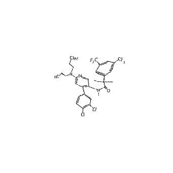 CN(C(=O)C(C)(C)c1cc(C(F)(F)F)cc(C(F)(F)F)c1)c1cnc(N(CCO)CCO)cc1-c1ccc(Cl)c(Cl)c1